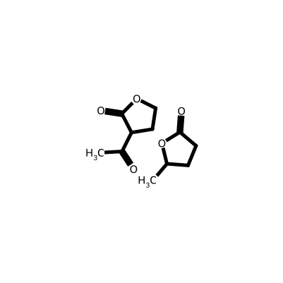 CC(=O)C1CCOC1=O.CC1CCC(=O)O1